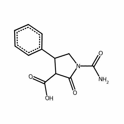 NC(=O)N1CC(c2ccccc2)C(C(=O)O)C1=O